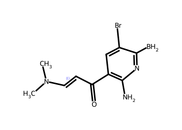 Bc1nc(N)c(C(=O)/C=C/N(C)C)cc1Br